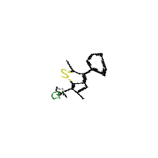 CC1=CC2=C(c3ccccc3)C(C)SC2=C1[Si](C)(C)Cl